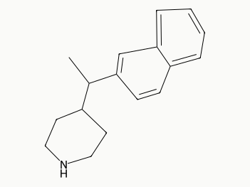 CC(c1ccc2ccccc2c1)C1CCNCC1